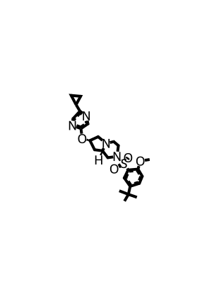 COc1ccc(C(C)(C)C)cc1S(=O)(=O)N1CCN2C[C@H](Oc3cnc(C4CC4)cn3)C[C@H]2C1